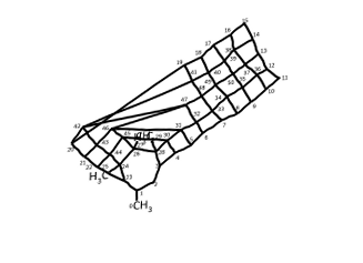 CC1CC2C3C4C5C6C7C8C9CC%10C%11C%12CC%13C%14C%15C%16C%17C%18C%19C1C1(C)C%20(C)C2(C)C32C43C54C65C76C87C%109C%118C%12%13C%149C%15%10C%16%11C%17%12C%18%13C%191C%202C3%13C4%12C5%11C6%10C879